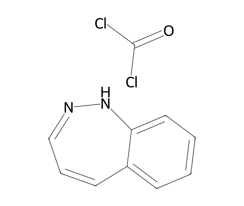 C1=Cc2ccccc2NN=C1.O=C(Cl)Cl